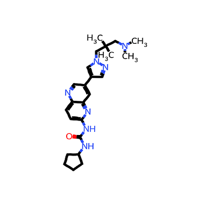 CN(C)CC(C)(C)Cn1cc(-c2cnc3ccc(NC(=O)NC4CCCC4)nc3c2)cn1